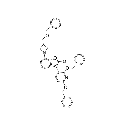 O=c1oc2c(N3CC(COCc4ccccc4)C3)cccc2n1-c1ccc(OCc2ccccc2)nc1OCc1ccccc1